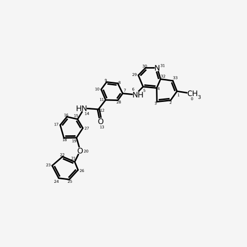 Cc1ccc2c(Nc3cccc(C(=O)Nc4cccc(Oc5ccccc5)c4)c3)ccnc2c1